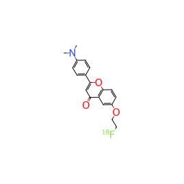 CN(C)c1ccc(-c2cc(=O)c3cc(OCC[18F])ccc3o2)cc1